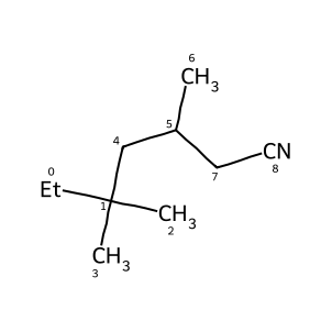 CCC(C)(C)CC(C)CC#N